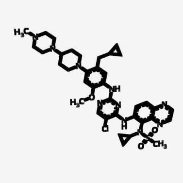 COc1cc(N2CCC(N3CCN(C)CC3)CC2)c(CC2CC2)cc1Nc1ncc(Cl)c(Nc2ccc3nccnc3c2N(C2CC2)S(C)(=O)=O)n1